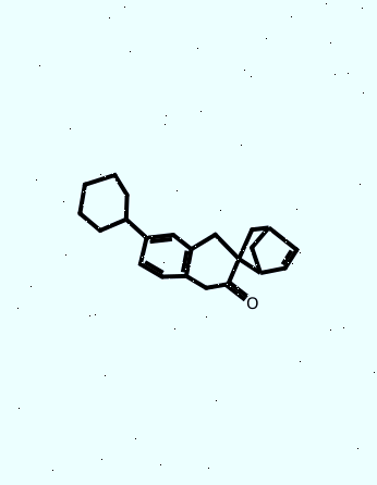 O=C1Cc2ccc(C3CCCCC3)cc2CC12CC1C=CC2C1